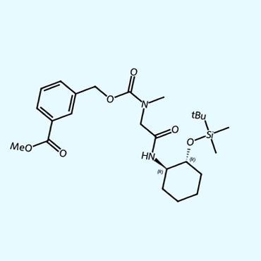 COC(=O)c1cccc(COC(=O)N(C)CC(=O)N[C@@H]2CCCC[C@H]2O[Si](C)(C)C(C)(C)C)c1